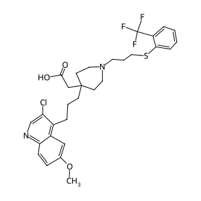 COc1ccc2ncc(Cl)c(CCCC3(CC(=O)O)CCN(CCCSc4ccccc4C(F)(F)F)CC3)c2c1